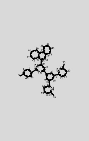 Cc1ccc(-c2nc(-c3cc(-c4cccc(C)n4)cc(-c4cccc(C)n4)c3)cc(-c3cc4ccccc4c4ccccc34)n2)cc1